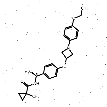 CCOc1ccc(N2CC(Oc3ccc([C@H](C)NC(=O)C4(C)CC4)cc3)C2)cc1